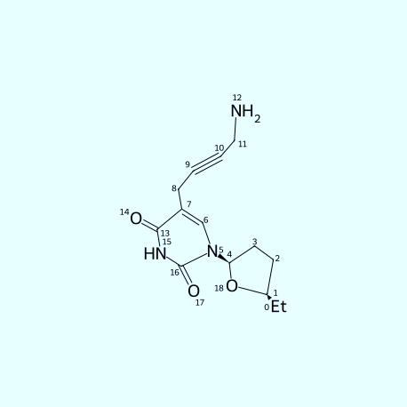 CC[C@@H]1CC[C@H](n2cc(CC#CCN)c(=O)[nH]c2=O)O1